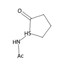 CC(=O)N[SH]1CCCC1=O